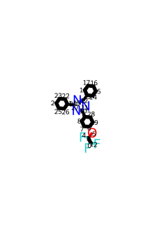 FC(F)=C(F)Oc1ccc(-c2nc(-c3ccccc3)nc(-c3ccccc3)n2)cc1